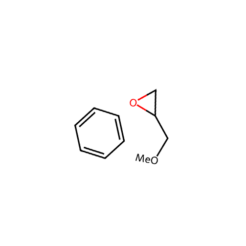 COCC1CO1.c1ccccc1